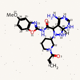 C=CC(=O)N1CCCC(N2N[C@H]3NC=NC(N)=C3C2C(=O)Nc2nc3cc(OC)ccc3o2)C1